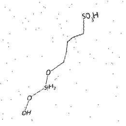 O=S(=O)(O)CCCO[SiH2]OO